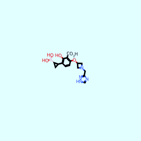 O=C(O)c1c(OC2CN(Cc3nc[nH]n3)C2)ccc(C2C[C@H]2B(O)O)c1O